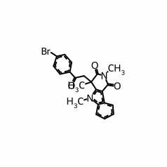 CN1C(=O)c2c(n(C)c3ccccc23)C(C)(CC(=O)c2ccc(Br)cc2)C1=O